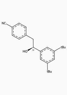 CC(C)(C)c1cc([C@@H](O)Cc2ccc(C#N)cc2)cc(C(C)(C)C)c1